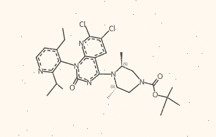 CCc1ccnc(C(C)C)c1-n1c(=O)nc(N2[C@@H](C)CN(C(=O)OC(C)(C)C)C[C@@H]2C)c2cc(Cl)c(Cl)nc21